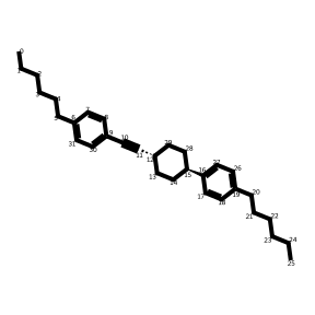 CCCCCCc1ccc(C#C[C@H]2CC[C@H](c3ccc(CCCCCC)cc3)CC2)cc1